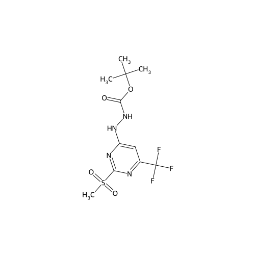 CC(C)(C)OC(=O)NNc1cc(C(F)(F)F)nc(S(C)(=O)=O)n1